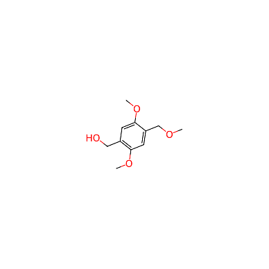 COCc1cc(OC)c(CO)cc1OC